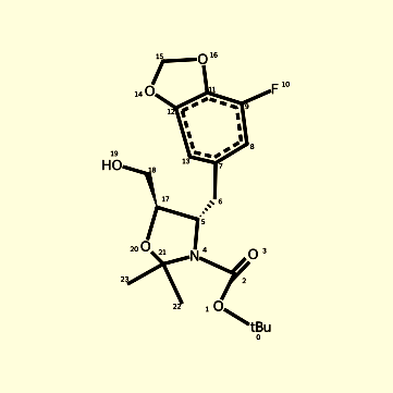 CC(C)(C)OC(=O)N1[C@@H](Cc2cc(F)c3c(c2)OCO3)[C@H](CO)OC1(C)C